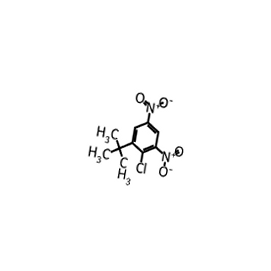 CC(C)(C)c1cc([N+](=O)[O-])cc([N+](=O)[O-])c1Cl